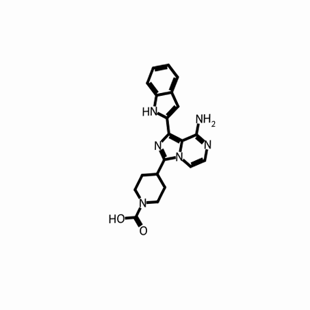 Nc1nccn2c(C3CCN(C(=O)O)CC3)nc(-c3cc4ccccc4[nH]3)c12